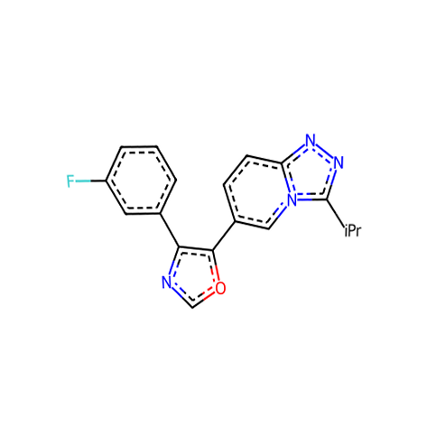 CC(C)c1nnc2ccc(-c3ocnc3-c3cccc(F)c3)cn12